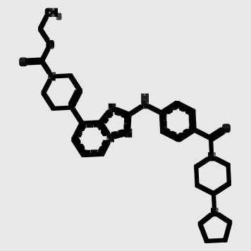 CCOC(=O)N1CC=C(c2cccn3nc(Nc4ccc(C(=O)N5CCC(N6CCCC6)CC5)cc4)nc23)CC1